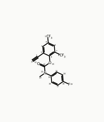 C#Cc1cc(C(F)(F)F)cc(C(F)(F)F)c1OC(=O)N(C)c1ccc(F)cc1